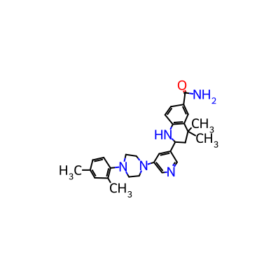 Cc1ccc(N2CCN(c3cncc(C4CC(C)(C)c5cc(C(N)=O)ccc5N4)c3)CC2)c(C)c1